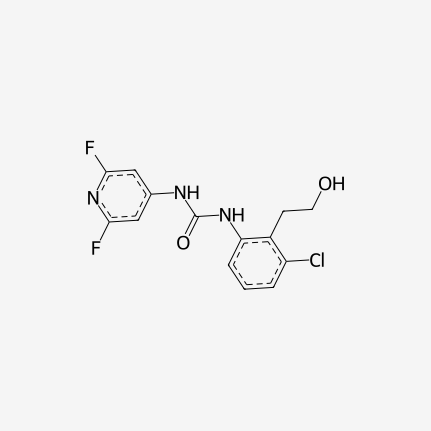 O=C(Nc1cc(F)nc(F)c1)Nc1cccc(Cl)c1CCO